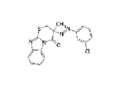 CC1(N=Nc2cccc(Cl)c2)CSc2nc3ccccc3n2C1=O